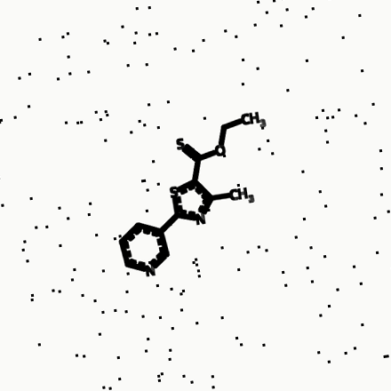 CCOC(=S)c1sc(-c2cccnc2)nc1C